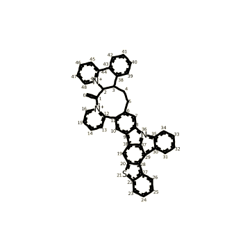 C=C1C2C(CCc3cc4c(cc3-c3cccc[n+]31)c1cc3sc5ccccc5c3c3c5ccccc5n4c13)c1ccccc1-c1cccc[n+]12